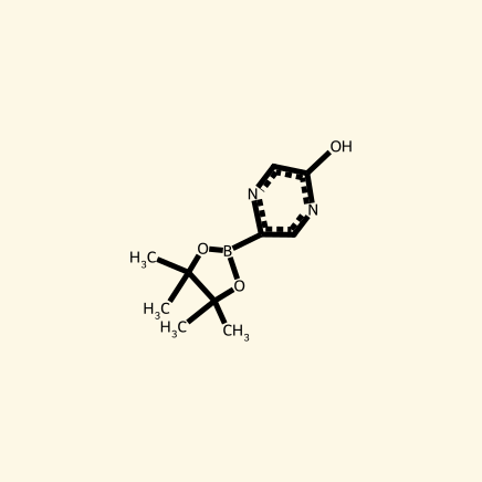 CC1(C)OB(c2cnc(O)cn2)OC1(C)C